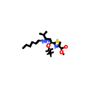 CCCCCCNC(CC(O[Si](C)(C)C(C)(C)C)c1nc(C(=O)OC)cs1)C(C)C